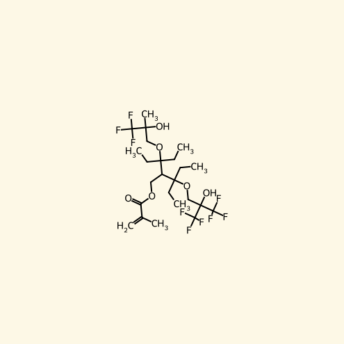 C=C(C)C(=O)OCC(C(CC)(CC)OCC(C)(O)C(F)(F)F)C(CC)(CC)OCC(O)(C(F)(F)F)C(F)(F)F